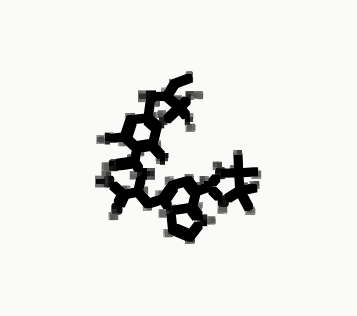 CCC(Nc1cc(F)c(C(=O)NC(Cc2ccc(B3OC(C)(C)C(C)(C)O3)c3nccn23)C(=O)O)c(F)c1)C(F)(F)F